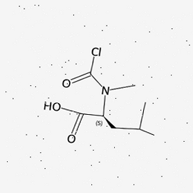 CC(C)C[C@@H](C(=O)O)N(C)C(=O)Cl